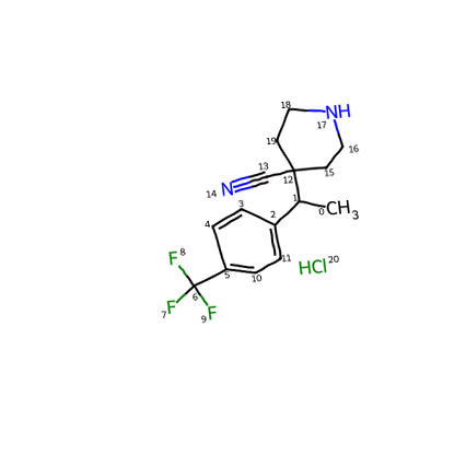 CC(c1ccc(C(F)(F)F)cc1)C1(C#N)CCNCC1.Cl